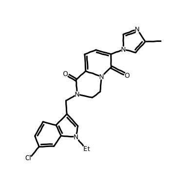 CCn1cc(CN2CCn3c(ccc(-n4cnc(C)c4)c3=O)C2=O)c2ccc(Cl)cc21